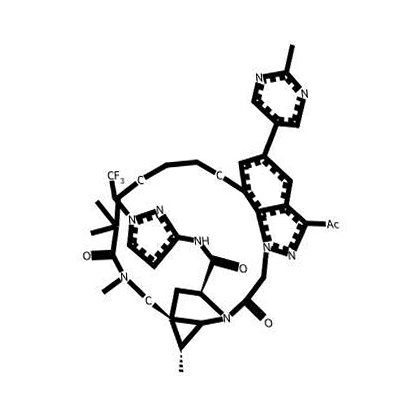 CC(=O)c1nn2c3c(cc(-c4cnc(C)nc4)cc13)CCCCCC(C)(C)C(=O)N(C)C[C@@]13C[C@@H](C(=O)Nc4ccn(CC(F)(F)F)n4)N(C(=O)C2)C1[C@@H]3C